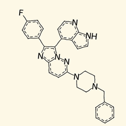 Fc1ccc(-c2nc3ccc(N4CCN(Cc5ccccc5)CC4)nn3c2-c2ccnc3[nH]ccc23)cc1